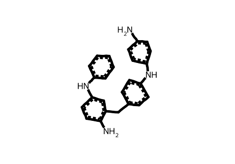 Nc1ccc(Nc2ccc(Cc3cc(Nc4ccccc4)ccc3N)cc2)cc1